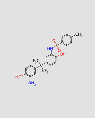 Cc1ccc(S(=O)(=O)Nc2cc(C(c3ccc(O)c(N)c3)(C(F)(F)F)C(F)(F)F)ccc2O)cc1